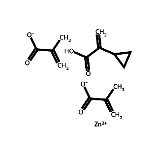 C=C(C(=O)O)C1CC1.C=C(C)C(=O)[O-].C=C(C)C(=O)[O-].[Zn+2]